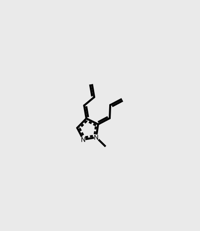 C=C/C=c1/cnn(C)/c1=C/C=C